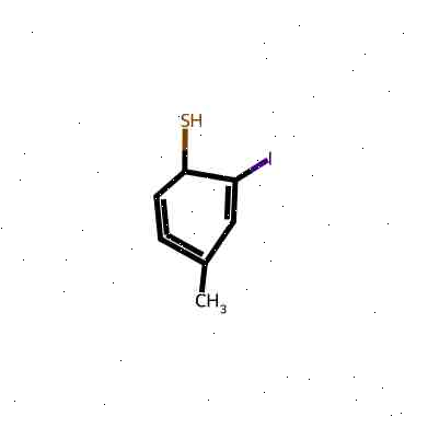 CC1=C=CC(S)C(I)=C1